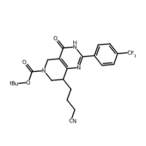 CC(C)(C)OC(=O)N1Cc2c(nc(-c3ccc(C(F)(F)F)cc3)[nH]c2=O)C(CCCC#N)C1